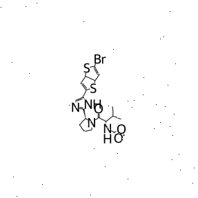 CC(C)[C@H](NC1OCO1)C(=O)N1CCC[C@H]1c1ncc(C2=CC3SC(Br)=CC3S2)[nH]1